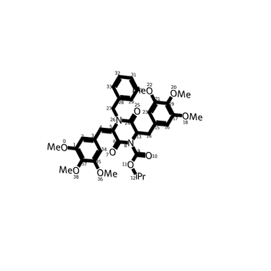 COc1cc(C=C2C(=O)N(C(=O)OC(C)C)C(Cc3cc(OC)c(OC)c(OC)c3)C(=O)N2Cc2ccccc2)cc(OC)c1OC